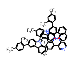 FC(F)(F)c1cc(-c2cnccc2-n2c3ccccc3c3cc(-c4ccc(C(F)(F)F)cc4C(F)(F)F)ccc32)c(-n2c3ccccc3c3cc(-c4ccc(C(F)(F)F)cc4C(F)(F)F)ccc32)c(-c2cnccc2-n2c3ccccc3c3cc(-c4ccc(C(F)(F)F)cc4C(F)(F)F)ccc32)c1